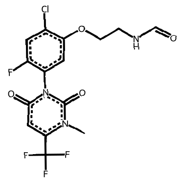 Cn1c(C(F)(F)F)cc(=O)n(-c2cc(OCCNC=O)c(Cl)cc2F)c1=O